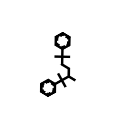 CC(C[CH]C(C)(C)c1ccccc1)C(C)(C)c1ccccc1